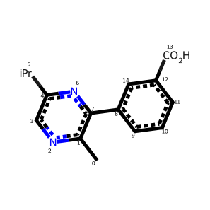 Cc1ncc(C(C)C)nc1-c1cccc(C(=O)O)c1